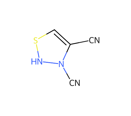 N#CC1=CSNN1C#N